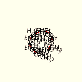 CCC1OC2OC3C(CC)OC(OC4C(CC)OC(OC5C(CC)OC(OC6C(CC)OC(OC7C(CC)OC(OC8C(CC)OC(OC9C(CC)OC(OC1C(C)C2C)C(C)C9C)C(C)C8C)C(C)C7C)C(C)C6C)C(C)C5C)C(C)C4C)C(C)C3C